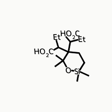 CCC(C(=O)O)C1(C(CC)C(=O)O)CC[Si](C)(C)OC1(C)C